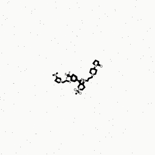 CN(C)C1CCN(CCSc2cc(-c3nn(CCCN4CCC(N5CCCC5=O)CC4)c4c3CN(S(C)(=O)=O)CC4)ccc2C(F)(F)F)C1